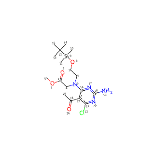 COC(=O)CN(CCO[Si](C)(C)C(C)(C)C)c1nc(N)nc(Cl)c1C(C)=O